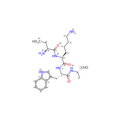 C[C@@H]([C]=O)NC(=O)[C@H](Cc1c[nH]c2ccccc12)NC(=O)[C@H](CCCCN)NC(=O)[C@@H](N)CC(=O)O